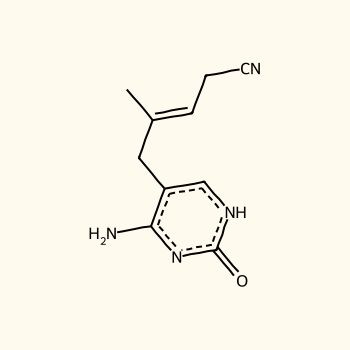 CC(=CCC#N)Cc1c[nH]c(=O)nc1N